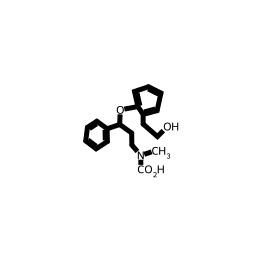 CN(CCC(Oc1ccccc1CCO)c1ccccc1)C(=O)O